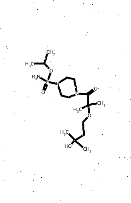 CC(C)OP(N)(=O)N1CCN(C(=O)C(C)(C)OCCC(C)(C)O)CC1